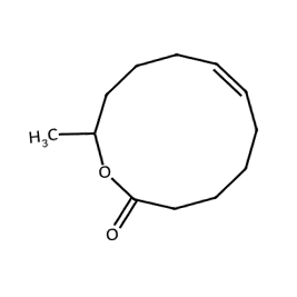 CC1CCCC=CCCCCC(=O)O1